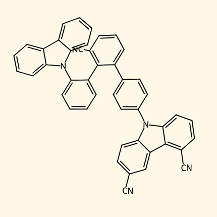 N#Cc1ccc2c(c1)c1c(C#N)cccc1n2-c1ccc(-c2cccc(C#N)c2-c2ccccc2-n2c3ccccc3c3ccccc32)cc1